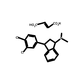 CN(C)C1CC(c2ccc(Cl)c(Cl)c2)c2ccccc21.O=C(O)/C=C/C(=O)O